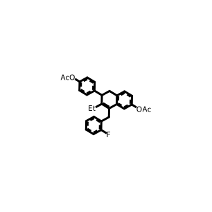 CCC1=C(Cc2ccccc2F)c2cc(OC(C)=O)ccc2CC1c1ccc(OC(C)=O)cc1